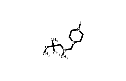 COC(C)(C)CN(C)CN1CCN(I)CC1